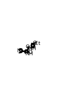 CCOc1ccc(NC(=O)c2cc(-c3ccncc3)c[nH]c2=O)cc1